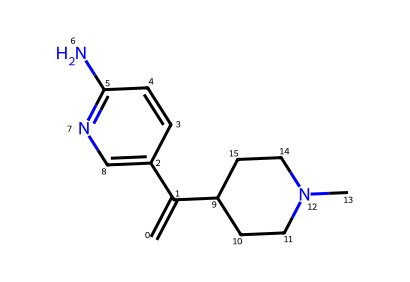 C=C(c1ccc(N)nc1)C1CCN(C)CC1